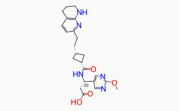 COc1ncc([C@H](CC(=O)O)NC(=O)[C@H]2C[C@@H](CCc3ccc4c(n3)NCCC4)C2)cn1